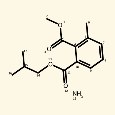 COC(=O)c1c(C)cccc1C(=O)OCC(C)C.N